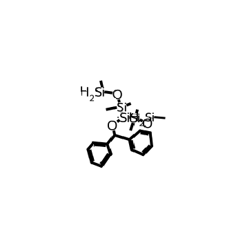 C[SiH2]O[Si](C)(C)[Si](OC(c1ccccc1)c1ccccc1)[Si](C)(C)O[SiH2]C